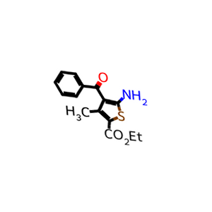 CCOC(=O)c1sc(N)c(C(=O)c2ccccc2)c1C